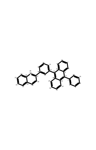 c1ccc(-c2c3ccccc3c(-c3cccc(-c4ccc5ccccc5n4)c3)c3ccccc23)cc1